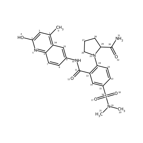 Cc1cc(O)nc2ccc(NC(=O)c3cc(S(=O)(=O)N(C)C)ccc3N3CCCC3C(N)=O)cc12